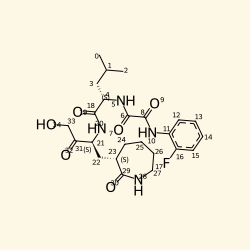 CC(C)C[C@H](NC(=O)C(=O)Nc1ccccc1F)C(=O)N[C@@H](C[C@@H]1CCCCNC1=O)C(=O)CO